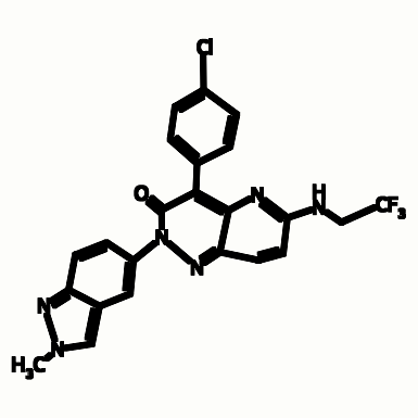 Cn1cc2cc(-n3nc4ccc(NCC(F)(F)F)nc4c(-c4ccc(Cl)cc4)c3=O)ccc2n1